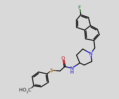 O=C(CSc1ccc(C(=O)O)cc1)NC1CCN(Cc2ccc3cc(F)ccc3c2)CC1